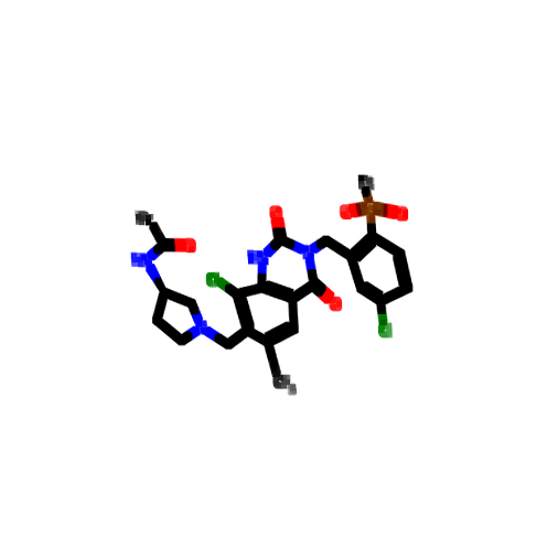 CCS(=O)(=O)c1ccc(Cl)cc1Cn1c(=O)[nH]c2c(Cl)c(CN3CC[C@@H](NC(=O)C(C)C)C3)c(C(F)(F)F)cc2c1=O